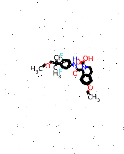 CCOCC(C)(C)c1c(F)cc(NC(=O)C2c3ccc(OCC)cc3CCN2C(=O)O)cc1F